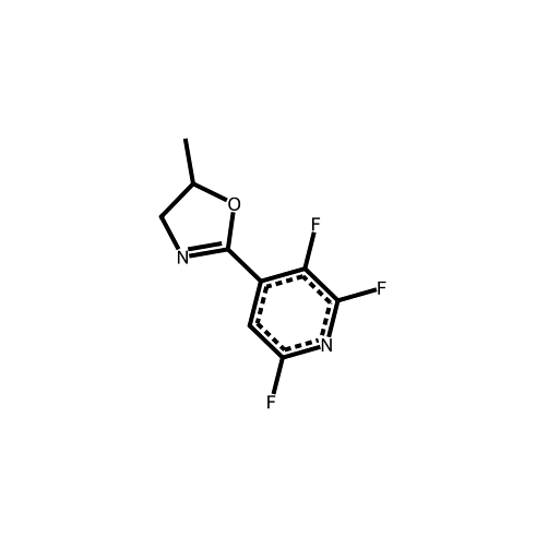 CC1CN=C(c2cc(F)nc(F)c2F)O1